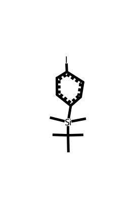 CC(C)(C)[Si](C)(C)c1ccc(I)cc1